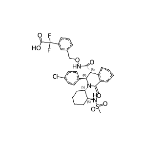 CS(=O)(=O)N[C@H]1CCCC[C@@H]1N1C(=O)c2ccccc2[C@@H](C(=O)NOCc2cccc(C(F)(F)C(=O)O)c2)[C@@H]1c1ccc(Cl)cc1